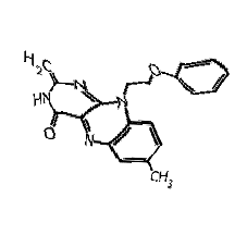 C=c1nc2c(c(=O)[nH]1)=Nc1cc(C)ccc1N2CCOc1ccccc1